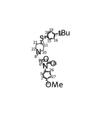 COc1ccc(N2C[C@H](CN3CCC(Sc4ccc(C(C)(C)C)cc4)CC3)OC2=O)cc1